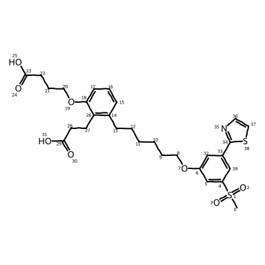 CS(=O)(=O)c1cc(OCCCCCCc2cccc(OCCCC(=O)O)c2CCC(=O)O)cc(-c2nccs2)c1